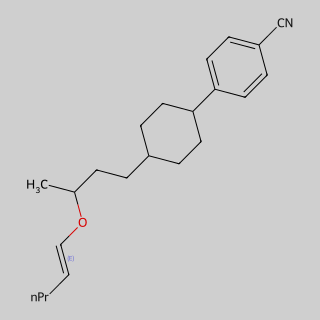 CCC/C=C/OC(C)CCC1CCC(c2ccc(C#N)cc2)CC1